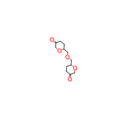 O=C1CCC(COCC2CCC(=O)CO2)OC1